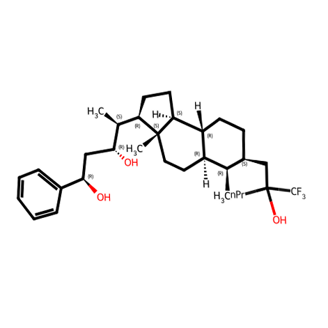 CCCC(O)(C[C@@H]1CC[C@@H]2[C@H](CC[C@]3(C)[C@@H]([C@H](C)[C@H](O)C[C@@H](O)c4ccccc4)CC[C@@H]23)[C@@H]1C)C(F)(F)F